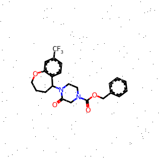 O=C(OCc1ccccc1)N1CCN(C2CCCOc3cc(C(F)(F)F)ccc32)C(=O)C1